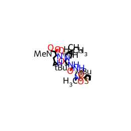 CC[C@H](C)[C@@H](CN(C)S(=O)(=O)c1cccs1)NC(=O)N[C@H](C(=O)N1C[C@H]2[C@@H]([C@H]1C(=O)NC(CC1CC1)C(=O)C(=O)NC)C2(C)C)C(C)(C)C